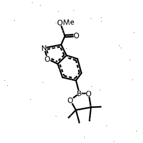 COC(=O)c1noc2cc(B3OC(C)(C)C(C)(C)O3)ccc12